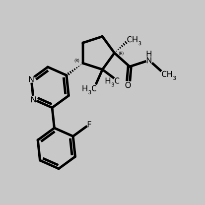 CNC(=O)[C@]1(C)CC[C@@H](c2cnnc(-c3ccccc3F)c2)C1(C)C